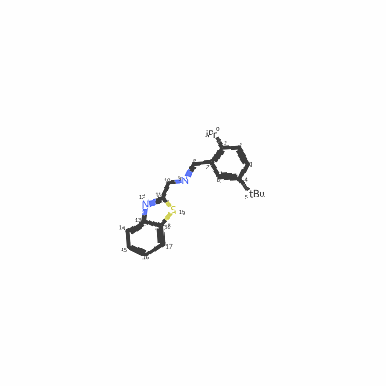 CC(C)c1ccc(C(C)(C)C)cc1/C=N/Cc1nc2ccccc2s1